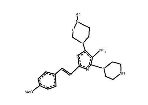 COc1ccc(/C=C/c2nc(N3CCNCC3)c(N)c(N3CCN(C(C)=O)CC3)n2)cc1